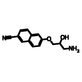 N#Cc1ccc2cc(OCC(O)CN)ccc2c1